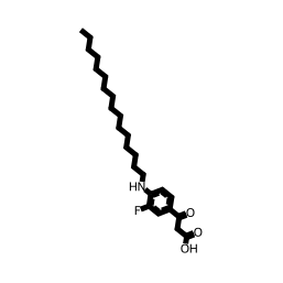 CCCCCCCCCCCCCCCCNc1ccc(C(=O)CC(=O)O)cc1F